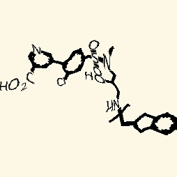 CN(CC(O)CNC(C)(C)CC1Cc2ccccc2C1)S(=O)(=O)c1ccc(-c2cncc(C(=O)O)c2)c(Cl)c1